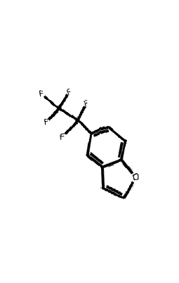 FC(F)(F)C(F)(F)c1ccc2oc[c]c2c1